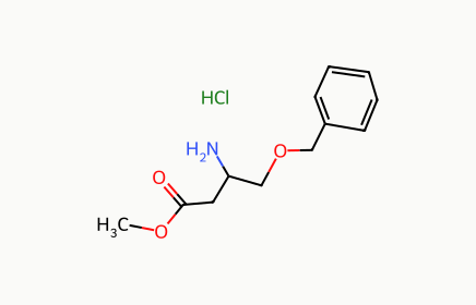 COC(=O)CC(N)COCc1ccccc1.Cl